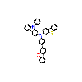 c1ccc(-n2c3ccccc3c3ccc(N(c4ccc(-c5ccc6c(c5)oc5ccccc56)cc4)c4ccc5c(c4)sc4ccccc45)cc32)cc1